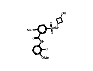 COc1ccc(S(=O)(=O)N[C@H]2C[C@H](O)C2)cc1C(=O)Nc1cccc(OC)c1Cl